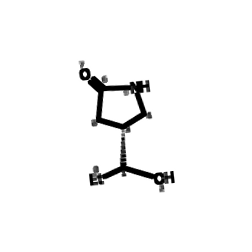 CCC(O)[C@H]1CNC(=O)C1